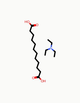 CCN(CC)CC.O=C(O)CCCCCCCCCCC(=O)O